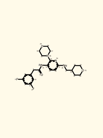 O=C(Cc1cc(F)cc(F)c1)Nc1ccc(NCC2CCOCC2)nc1N1CCOCC1